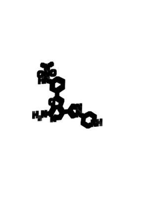 CN(C)S(=O)(=O)Nc1cccc(-c2cc3c(-c4cnn(C5CCNCC5)c4)cnc(N)c3o2)c1